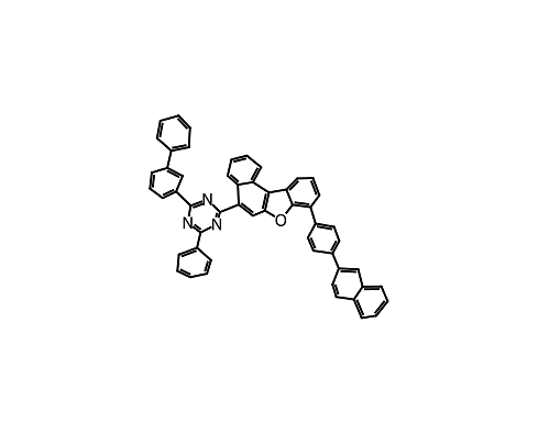 c1ccc(-c2cccc(-c3nc(-c4ccccc4)nc(-c4cc5oc6c(-c7ccc(-c8ccc9ccccc9c8)cc7)cccc6c5c5ccccc45)n3)c2)cc1